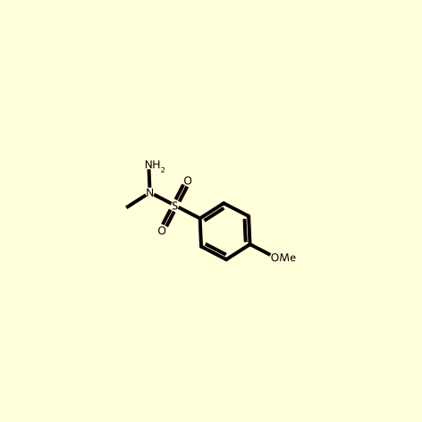 COc1ccc(S(=O)(=O)N(C)N)cc1